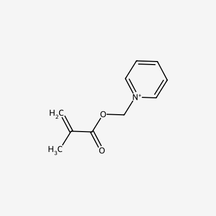 C=C(C)C(=O)OC[n+]1ccccc1